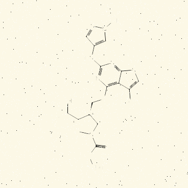 C[C@H](O)[C@H]1CN(C(=O)OC(C)(C)C)C[C@@H]1COc1nc(Nc2cnn(C)c2)nc2[nH]cc(Cl)c12